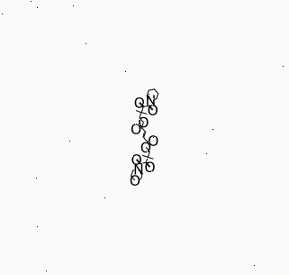 CC(C)(COC(=O)/C=C/C(=O)OCC(C)(C)C(=O)C(=O)N1CCOCC1)C(=O)C(=O)N1CCCCC1